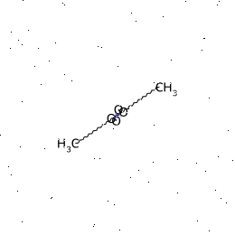 CCCCCCCCCCCCCCCCOC(=O)/C=C/C(=O)OCCCCCCCCCCCCCCCC